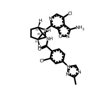 Cc1ncn(-c2ccc(C(=O)N[C@@H]3[C@H]4CC[C@@H]3N(c3ncc(Cl)c5c(N)noc35)C4)c(Cl)c2)n1